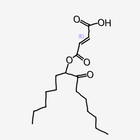 CCCCCCC(=O)C(CCCCCC)OC(=O)/C=C/C(=O)O